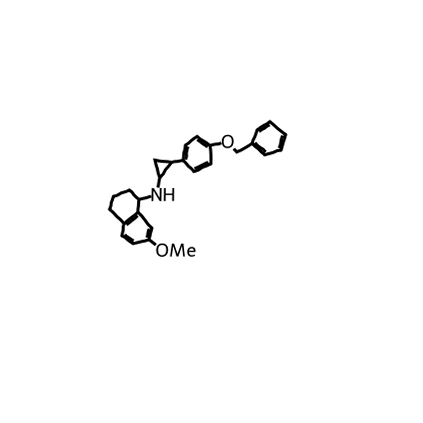 COc1ccc2c(c1)C(NC1CC1c1ccc(OCc3ccccc3)cc1)CCC2